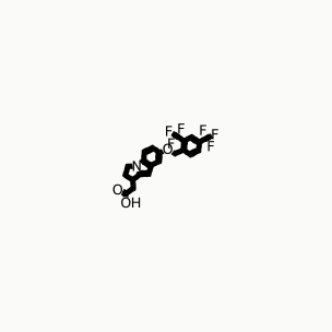 O=C(O)CC1CCn2c1cc1cc(OCc3ccc(C(F)(F)F)cc3C(F)(F)F)ccc12